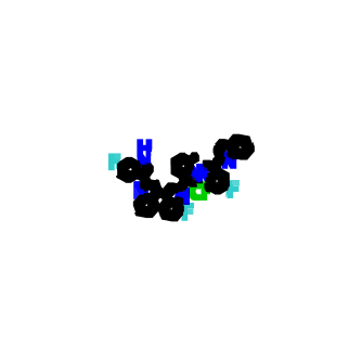 Cc1cccc2c(-c3cc(-c4cc(-c5c[nH]c6cc(F)ccc56)nc5ccccc45)c4cccc(F)c4n3)cn(-n3cc(-c4ccc5ccccc5n4)c4cc(F)cc(Cl)c43)c12